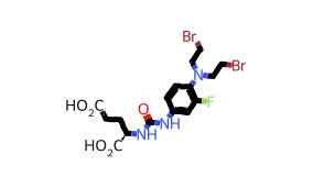 O=C(O)CC[C@H](NC(=O)Nc1ccc(N(CCBr)CCBr)c(F)c1)C(=O)O